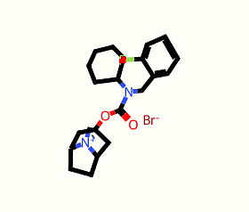 C[N+]1(C)C2CCC1CC(OC(=O)N(Cc1ccccc1F)C1CCCCC1)C2.[Br-]